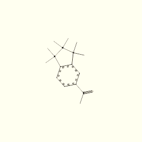 CC(=O)c1ccc2c(c1)C(C)(C)C(C)(C)C2(C)C